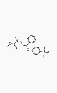 COC(=O)N(C)CCC(Oc1ccc(C(F)(F)F)cc1)c1ccccc1